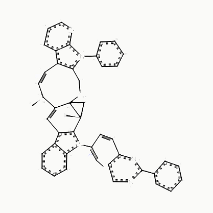 C/C=C(\C=C/c1ccnc(-c2ccccc2)n1)n1c2c(c3ccccc31)C=C1[C@@H](CC)/C=C\c3c(n(-c4ccccc4)c4ncccc34)CSC13C[C@H]23